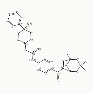 CC1(C)CC2CC(C)(CN2C(=O)c2ccc(NC(=O)CN3CCC(O)(c4ccccc4)CC3)cc2)C1